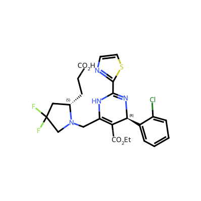 CCOC(=O)C1=C(CN2CC(F)(F)C[C@@H]2CCC(=O)O)NC(c2nccs2)=N[C@H]1c1ccccc1Cl